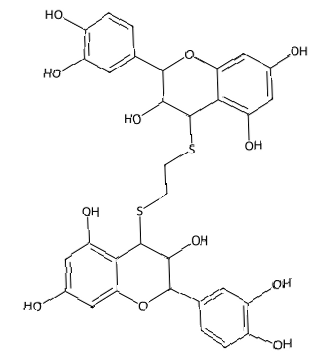 Oc1cc(O)c2c(c1)OC(c1ccc(O)c(O)c1)C(O)C2SCCSC1c2c(O)cc(O)cc2OC(c2ccc(O)c(O)c2)C1O